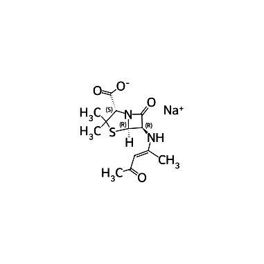 CC(=O)C=C(C)N[C@@H]1C(=O)N2[C@@H]1SC(C)(C)[C@@H]2C(=O)[O-].[Na+]